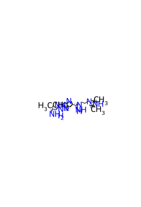 CC(C)C(=C/N)/C=C(\N)Nc1ccc2ncc(/C(C=N)=C/NCCCN3C[C@@H](C)N[C@@H](C)C3)cc2n1